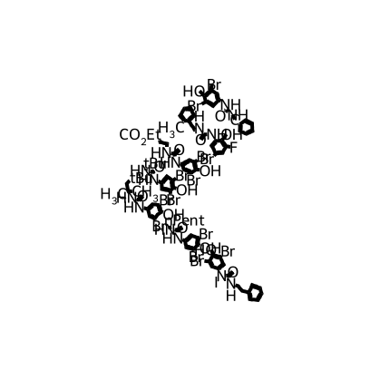 CC(C)(C)CC(C)(C)NC(=O)Nc1cc(Br)c(O)c(Br)c1.CC(C)(C)NC(=O)Nc1cc(Br)c(O)c(Br)c1.CCCCCNC(=O)Nc1cc(Br)c(O)c(Br)c1.CCOC(=O)CCNC(=O)Nc1cc(Br)c(O)c(Br)c1.Cc1ccccc1CNC(=O)Nc1cc(Br)cc(F)c1O.O=C(NCCc1ccccc1)N(I)c1cc(Br)c(O)c(Br)c1.O=C(NCc1ccccc1)Nc1cc(Br)c(O)c(Br)c1